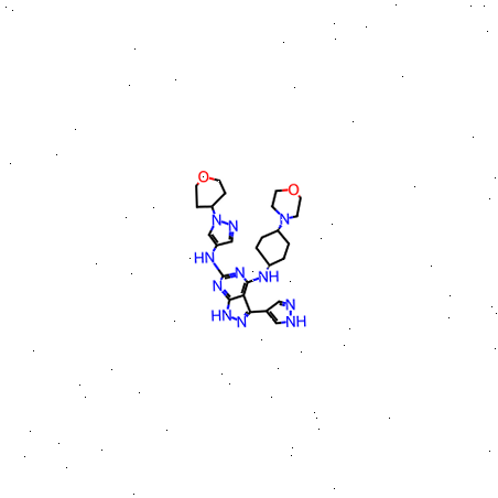 c1nn(C2CCOCC2)cc1Nc1nc(N[C@H]2CC[C@H](N3CCOCC3)CC2)c2c(-c3cn[nH]c3)n[nH]c2n1